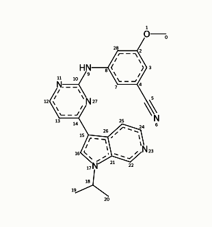 COc1cc(C#N)cc(Nc2nccc(-c3cn(C(C)C)c4cnccc34)n2)c1